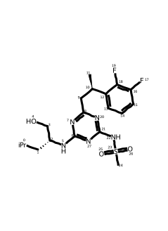 CC(C)C[C@H](CO)Nc1nc(C[C@@H](C)c2cccc(F)c2F)nc(NS(C)(=O)=O)n1